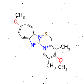 COC1=CC=C2N=C3N(SCc4c(C)c(OC)c(C)c[n+]43)C2C=C1